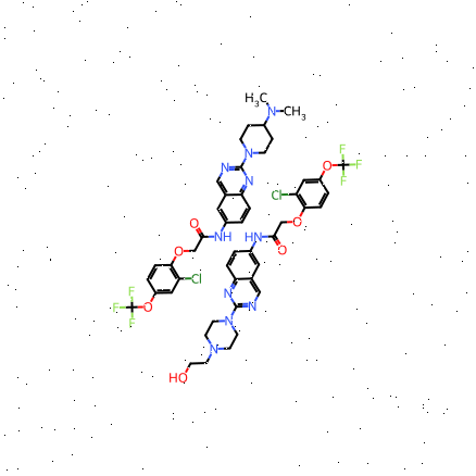 CN(C)C1CCN(c2ncc3cc(NC(=O)COc4ccc(OC(F)(F)F)cc4Cl)ccc3n2)CC1.O=C(COc1ccc(OC(F)(F)F)cc1Cl)Nc1ccc2nc(N3CCN(CCO)CC3)ncc2c1